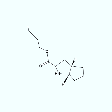 CCCCOC(=O)C1C[C@@H]2CCC[C@@H]2N1